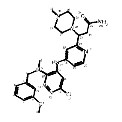 COc1cccc(CN(C)c2nnc(Cl)cc2Nc2ccnc(C(CC(N)=O)N3CCN(C)CC3)c2)c1